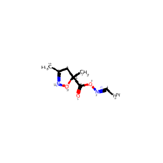 CCC/C=N/OC(=O)C1(C)CC(C)=NO1